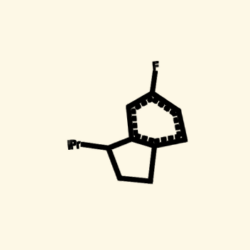 CC(C)C1CCc2ccc(F)cc21